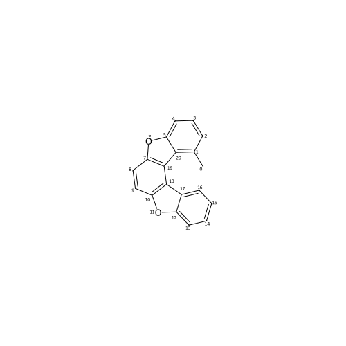 Cc1cccc2oc3ccc4oc5ccccc5c4c3c12